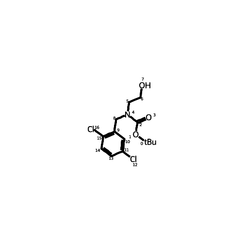 CC(C)(C)OC(=O)N(CCO)Cc1cc(Cl)ccc1Cl